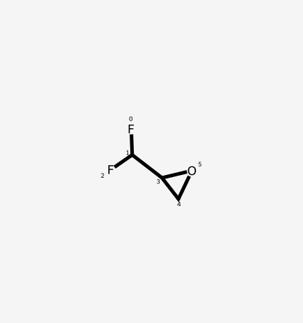 FC(F)C1CO1